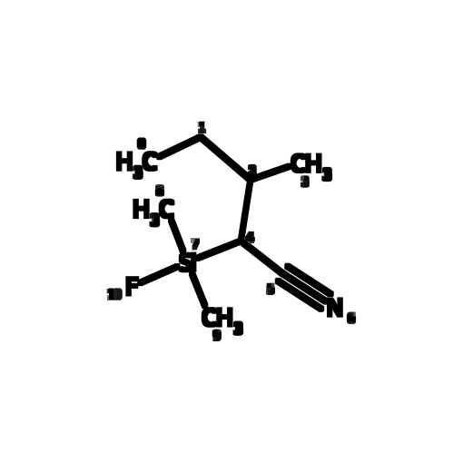 CCC(C)C(C#N)[Si](C)(C)F